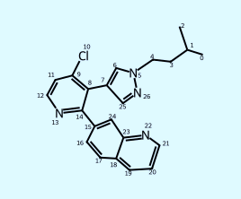 CC(C)CCn1cc(-c2c(Cl)ccnc2-c2ccc3cccnc3c2)cn1